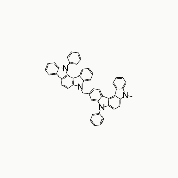 Cn1c2ccccc2c2c3c4ccc(Cn5c6ccccc6c6c5ccc5c7ccccc7n(-c7ccccc7)c56)cc4n(-c4ccccc4)c3ccc21